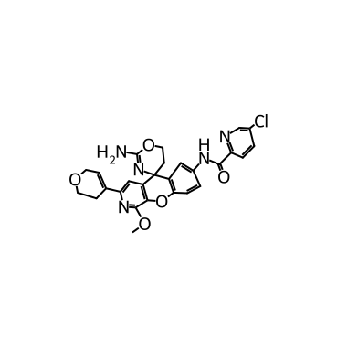 COc1nc(C2=CCOCC2)cc2c1Oc1ccc(NC(=O)c3ccc(Cl)cn3)cc1C21CCOC(N)=N1